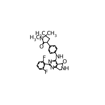 CN1C(=O)C(c2ccc(Nc3nc(-c4c(F)cccc4F)nc4c3C(=O)NC4)cc2)CC1(C)C